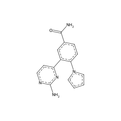 NC(=O)c1ccc(-n2cccc2)c(-c2ccnc(N)n2)c1